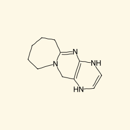 C1=CNC2=C(CN3CCCCCC3=N2)N1